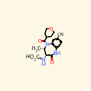 C[C@H]1[C@H](NC(=O)O)C(=O)Nc2ccc(C#N)cc2N1C(=O)C1CCOCC1